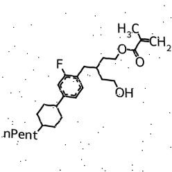 C=C(C)C(=O)OCCC(CCO)Cc1ccc(C2CCC(CCCCC)CC2)cc1F